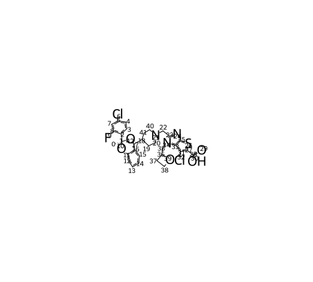 C[C@@]1(c2ccc(Cl)cc2F)Oc2ccccc2C(C2CCN(Cc3nc4sc(C(=O)O)c(Cl)c4n3C[C@@H]3CCO3)CC2)O1